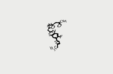 CCc1ccc(-c2cc3sc(Cc4nnc(CC(=O)O)o4)nc3cc2F)s1